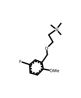 COc1ccc(F)cc1[CH]OCC[Si](C)(C)C